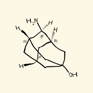 N[C@H]1[C@@H]2C[C@H]3C[C@H]1CC(O)(C3)C2